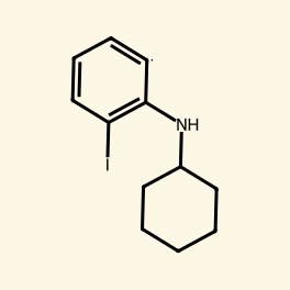 Ic1ccc[c]c1NC1CCCCC1